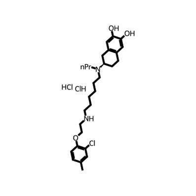 CCCN(CCCCCCNCCOc1ccc(C)cc1Cl)[C@@H]1CCc2cc(O)c(O)cc2C1.Cl.Cl